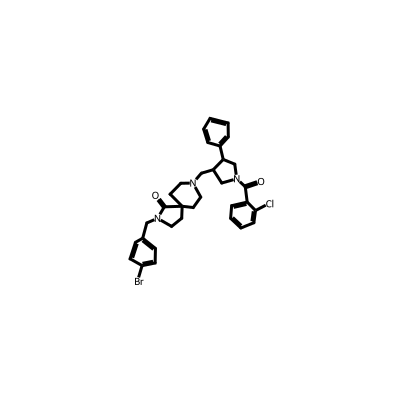 O=C(c1ccccc1Cl)N1CC(CN2CCC3(CC2)CCN(Cc2ccc(Br)cc2)C3=O)C(c2ccccc2)C1